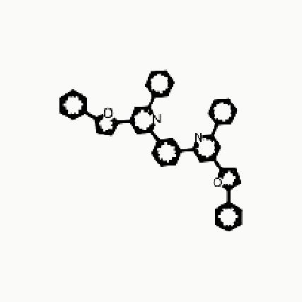 c1ccc(-c2cc(-c3ccc(-c4ccccc4)o3)cc(-c3cccc(-c4cc(-c5ccc(-c6ccccc6)o5)cc(-c5ccccc5)n4)c3)n2)cc1